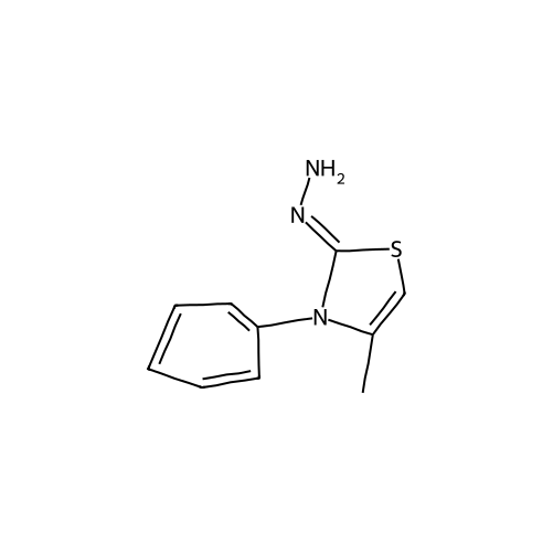 Cc1cs/c(=N\N)n1-c1ccccc1